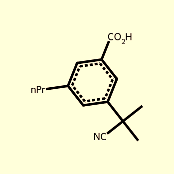 CCCc1cc(C(=O)O)cc(C(C)(C)C#N)c1